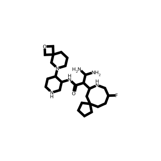 NC(N)C(C(=O)NC1CNCCC1N1CCCC2(COC2)C1)C1CC2(CCCC2)CCC(F)CN1